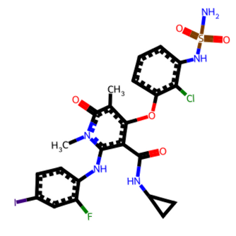 Cc1c(Oc2cccc(NS(N)(=O)=O)c2Cl)c(C(=O)NC2CC2)c(Nc2ccc(I)cc2F)n(C)c1=O